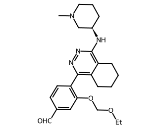 CCOCOc1cc(C=O)ccc1-c1nnc(N[C@@H]2CCCN(C)C2)c2c1CCCC2